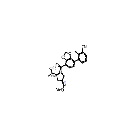 CO/N=C1\C[C@@H]([C@@H](C)O)N(C(=O)c2ccc(-c3cccc(C#N)c3C)c3c2OCO3)C1